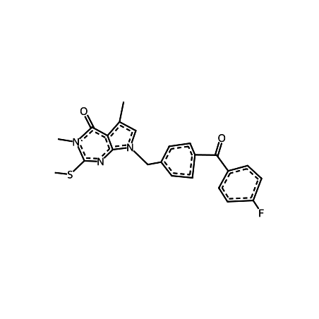 CSc1nc2c(c(C)cn2Cc2ccc(C(=O)c3ccc(F)cc3)cc2)c(=O)n1C